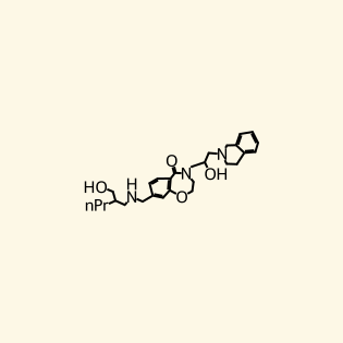 CCCC(CO)CNCc1ccc2c(c1)OCCN(CC(O)CN1CCc3ccccc3C1)C2=O